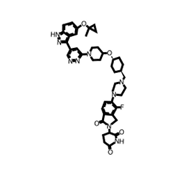 CC1(Oc2ccc3[nH]nc(-c4cnnc(N5CCC(O[C@H]6CC[C@H](CN7CCN(c8ccc9c(c8F)CN(C8CCC(=O)NC8=O)C9=O)CC7)CC6)CC5)c4)c3c2)CC1